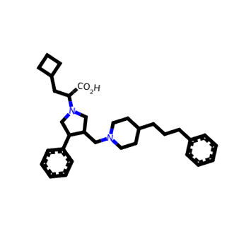 O=C(O)C(CC1CCC1)N1CC(CN2CCC(CCCc3ccccc3)CC2)C(c2ccccc2)C1